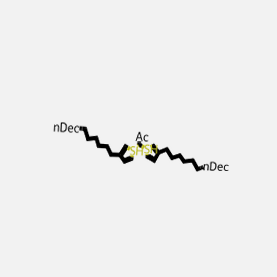 CCCCCCCCCCCCCCCCC1=C[SH](C(C(C)=O)[SH]2C=CC(CCCCCCCCCCCCCCCC)=C2)C=C1